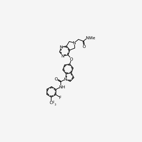 CNC(=O)CN1Cc2ncnc(Oc3ccc4c(ccn4C(=O)Nc4cccc(C(F)(F)F)c4F)c3)c2C1